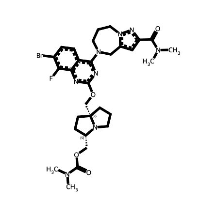 CN(C)C(=O)OC[C@@H]1CC[C@@]2(COc3nc(N4CCCn5nc(C(=O)N(C)C)cc5C4)c4ccc(Br)c(F)c4n3)CCCN12